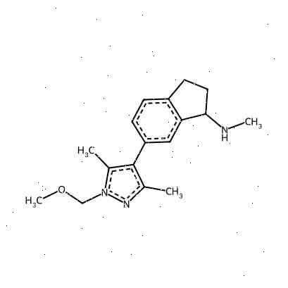 CNC1CCc2ccc(-c3c(C)nn(COC)c3C)cc21